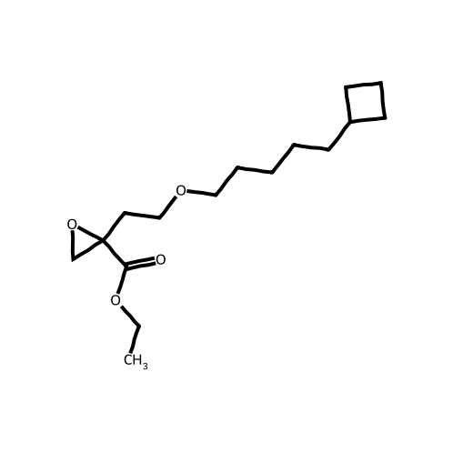 CCOC(=O)C1(CCOCCCCCC2CCC2)CO1